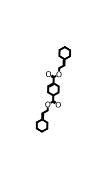 O=C(OCC=C1CCCCC1)C1=CCC(C(=O)OCC=C2CCCCC2)CC1